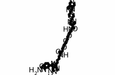 Nc1nc2cc(-c3nn(CCCCNC(=O)CCOCCOCCOCCNC(=O)c4cnc(N5CCN(c6ncc7c(n6)CCNC7)CC5)nc4)c4ncnc(N)c34)ccc2o1